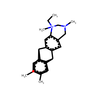 CC[N+]1(C)CN(C)Cc2cc3c(cc21)C1c2ccccc2C3c2cc(C)c(C)cc21